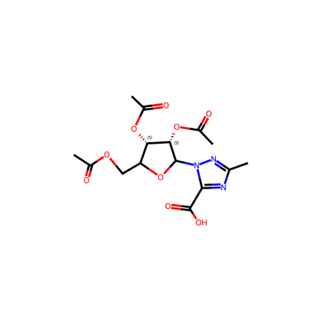 CC(=O)OCC1OC(n2nc(C)nc2C(=O)O)[C@@H](OC(C)=O)[C@H]1OC(C)=O